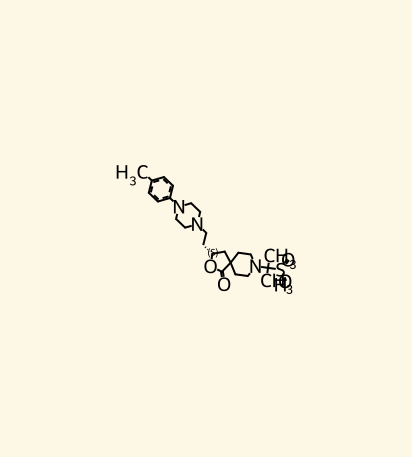 Cc1ccc(N2CCN(CC[C@@H]3CC4(CCN(C(C)(C)[SH](=O)=O)CC4)C(=O)O3)CC2)cc1